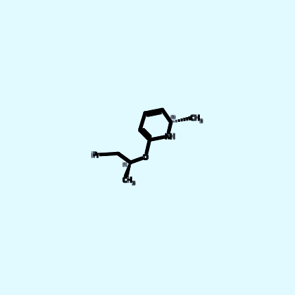 CC(C)C[C@H](C)OC1=CC=C[C@H](C)N1